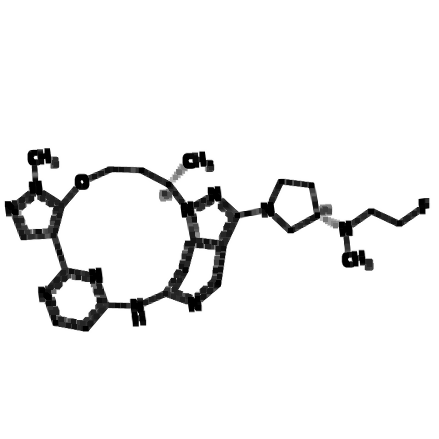 C[C@H]1CCOc2c(cnn2C)-c2nccc(n2)Nc2cc3c(cn2)c(N2CC[C@H](N(C)CCF)C2)nn31